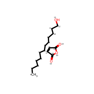 CCCCCCCCCCCCCO.O=C1C=CC(=O)O1